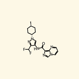 C[C@H]1CC[C@H](n2cc(NC(=O)c3ncn4cccnc34)c(C(F)F)n2)CC1